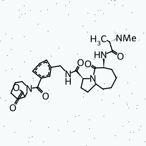 CN[C@@H](C)C(=O)N[C@H]1CCCCC2CC[C@@H](C(=O)NCc3cccc(C(=O)N4CC5CCC4C(=O)O5)c3)N2C1=O